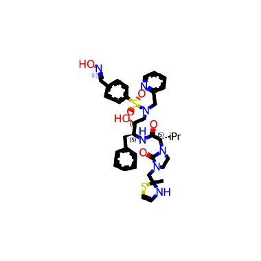 CC(C)[C@@H](C(=O)N[C@@H](Cc1ccccc1)[C@H](O)CN(Cc1ccccn1)S(=O)(=O)c1ccc(/C=N/O)cc1)N1CCN(CC2(C)NC=CS2)C1=O